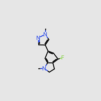 CN1CCc2c(F)cc(-c3cnn(C)c3)cc21